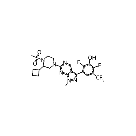 Cn1nc(-c2cc(C(F)(F)F)c(F)c(O)c2F)c2cnc(N3CCN(S(C)(=O)=O)C(C4CCC4)C3)nc21